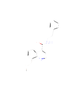 CSSc1cccc2c(C(=O)NCCc3ccccc3)ccnc12